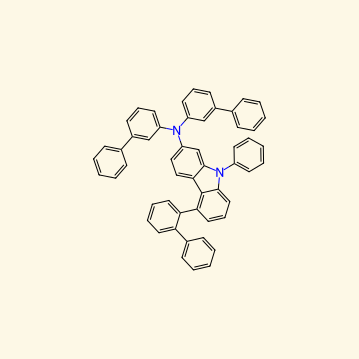 c1ccc(-c2cccc(N(c3cccc(-c4ccccc4)c3)c3ccc4c5c(-c6ccccc6-c6ccccc6)cccc5n(-c5ccccc5)c4c3)c2)cc1